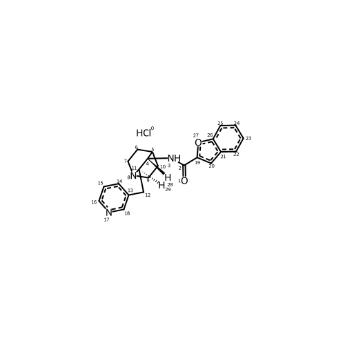 Cl.O=C(N[C@H]1C2CCN(CC2)[C@@H]1Cc1cccnc1)c1cc2ccccc2o1